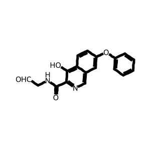 O=CCNC(=O)c1ncc2cc(Oc3ccccc3)ccc2c1O